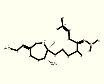 CC(=O)OC/C=C1\CC[C@@H](OC(C)=O)[C@](C)(CCCC(C)/C(CC=C(C)C)=N\N(C)C)OC1